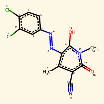 Cc1c(/N=N/c2ccc(Cl)c(Cl)c2)c(O)n(C)c(=O)c1C#N